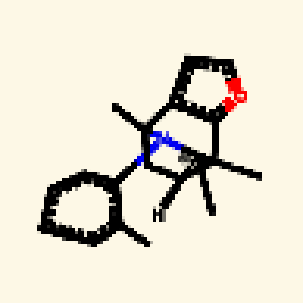 Cc1ccccc1N1[C@@H](C)C2(C)CCC1(C)c1ccoc12